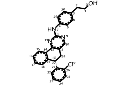 OCCc1ccc(Nc2ncc3c(n2)-c2ccccc2[C@@H](c2ccccc2Cl)C3)cc1